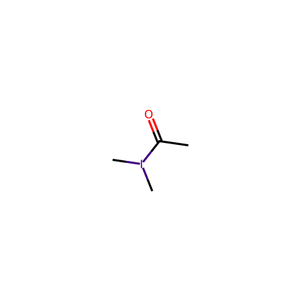 CC(=O)I(C)C